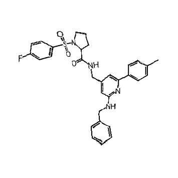 Cc1ccc(-c2cc(CNC(=O)C3CCCN3S(=O)(=O)c3ccc(F)cc3)cc(NCc3ccccc3)n2)cc1